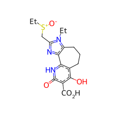 CCn1c(C[S+]([O-])CC)nc2c1CCCc1c-2[nH]c(=O)c(C(=O)O)c1O